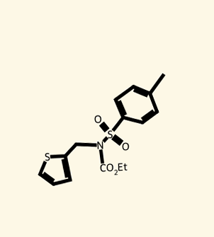 CCOC(=O)N(Cc1cccs1)S(=O)(=O)c1ccc(C)cc1